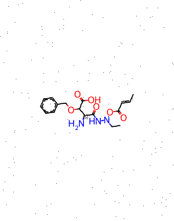 CC=CC(=O)ON(CC)NC(=O)[C@@H](N)C(OCc1ccccc1)C(=O)O